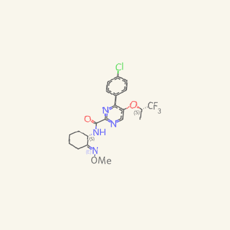 CO/N=C1\CCCC[C@@H]1NC(=O)c1ncc(O[C@@H](C)C(F)(F)F)c(-c2ccc(Cl)cc2)n1